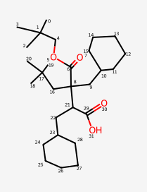 CC(C)(C)COC(=O)C(CC1CCCCC1)(CC(C)(C)C)C(CC1CCCCC1)C(=O)O